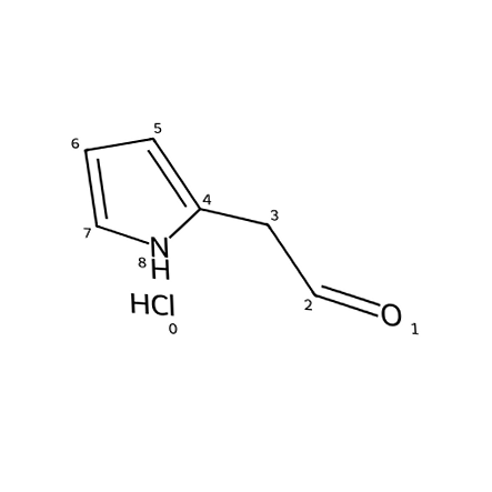 Cl.O=CCc1ccc[nH]1